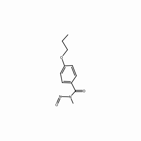 CCCOc1ccc(C(=O)N(C)N=O)cc1